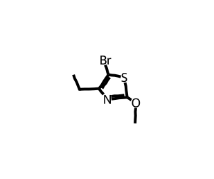 CCc1nc(OC)sc1Br